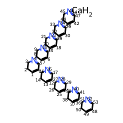 C1=CCCN=C1.C1=CCCN=C1.C1=CCCN=C1.C1=CCCN=C1.C1=CCCN=C1.C1=CCCN=C1.C1=CCCN=C1.C1=CCCN=C1.C1=CCCN=C1.[CaH2]